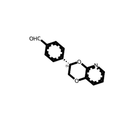 O=Cc1ccc([C@H]2COc3cccnc3O2)cc1